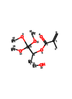 C=C(C)C(=O)OC(CC)[Si](OC(C)C)(OC(C)C)OC(C)C.CCO